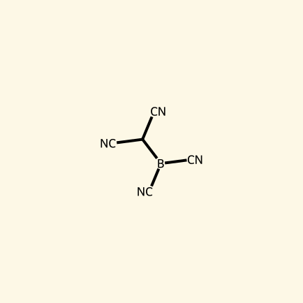 N#CB(C#N)C(C#N)C#N